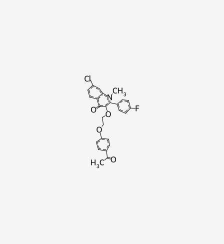 CC(=O)c1ccc(OCCOc2c(-c3ccc(F)cc3)n(C)c3cc(Cl)ccc3c2=O)cc1